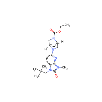 CCOC(=O)N1C[C@H]2C[C@@H]1CN2c1ccc2c(n1)n(C)c(=O)n2CC(C)(C)C